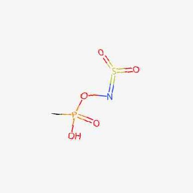 CP(=O)(O)ON=S(=O)=O